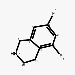 Fc1cc(F)c2c(c1)CNCC2